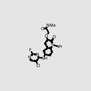 CNC(=O)COc1cc2cc(Nc3nc(F)ncc3Cl)ccc2n(C(C)C)c1=O